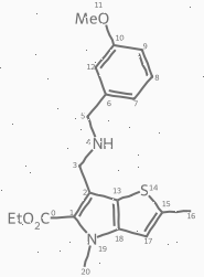 CCOC(=O)c1c(CNCc2cccc(OC)c2)c2sc(C)cc2n1C